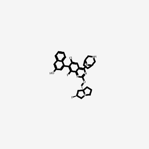 Oc1cc(-c2c(Cl)cc3c(N4C5CCC4CNC5)nc(OC[C@]45CCCN4C[C@@H](F)C5)nc3c2F)c2ccccc2c1